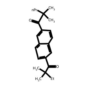 CCCC(C)(C)C(=O)c1ccc2cc(C(=O)C(C)(C)CC)ccc2c1